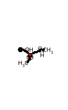 CCCCB1OC2CC(O1)[C@H](CC=CCCCC(=O)NCC)[C@H]2C=C[C@@H](O)CCc1ccccc1